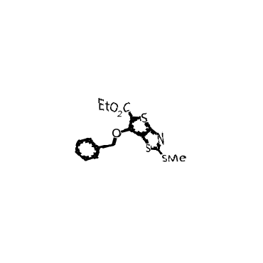 CCOC(=O)c1sc2nc(SC)sc2c1OCc1ccccc1